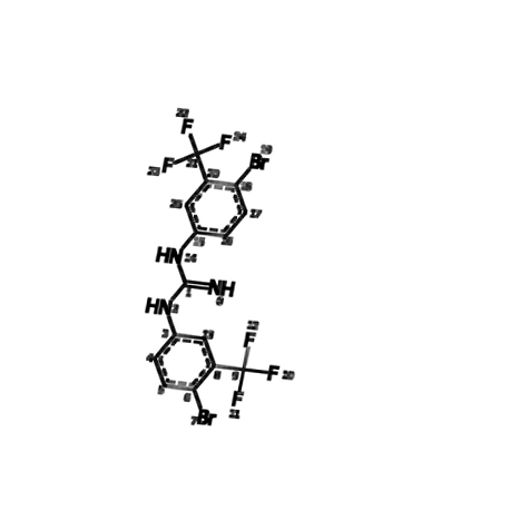 N=C(Nc1ccc(Br)c(C(F)(F)F)c1)Nc1ccc(Br)c(C(F)(F)F)c1